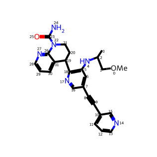 COCC(C)Nc1cc(C#Cc2cccnc2)cnc1C1CCN(C(N)=O)c2ncccc21